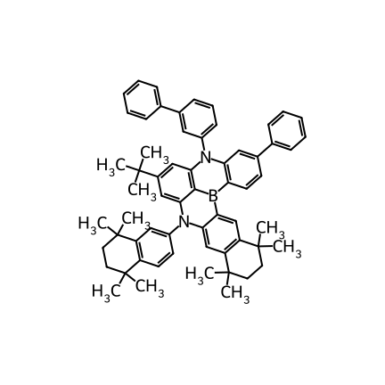 CC(C)(C)c1cc2c3c(c1)N(c1ccc4c(c1)C(C)(C)CCC4(C)C)c1cc4c(cc1B3c1ccc(-c3ccccc3)cc1N2c1cccc(-c2ccccc2)c1)C(C)(C)CCC4(C)C